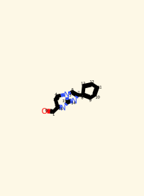 O=Cc1ccn2cc(-c3ccccc3)nc2n1